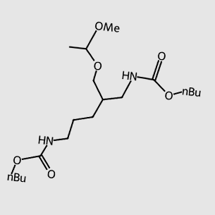 CCCCOC(=O)NCCCC(CNC(=O)OCCCC)COC(C)OC